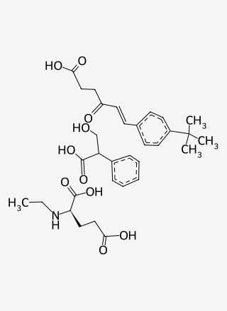 CC(C)(C)c1ccc(/C=C/C(=O)CCC(=O)O)cc1.CCN[C@H](CCC(=O)O)C(=O)O.O=C(O)C(CO)c1ccccc1